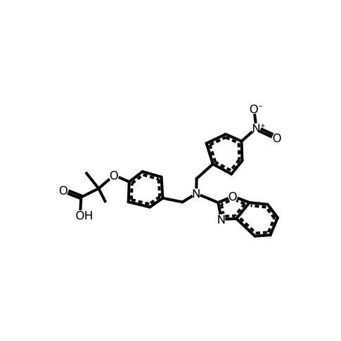 CC(C)(Oc1ccc(CN(Cc2ccc([N+](=O)[O-])cc2)c2nc3ccccc3o2)cc1)C(=O)O